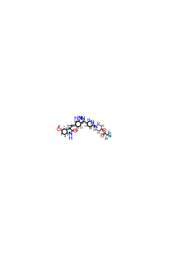 COc1ccc2c(c1)[C@]1(C[C@H]1c1ccc3c(-c4ccc(N5CCC(OC(=O)C(F)(F)F)CC5)nc4)n[nH]c3c1)C(=O)N2